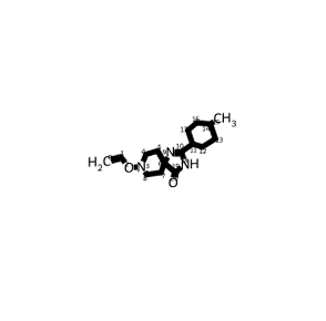 C=CON1CCC2(CC1)N=C(C1CCC(C)CC1)NC2=O